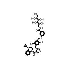 O=C(NC[C@H](O)[C@@H](O)[C@H](O)[C@H](O)CO)c1cccc(OCc2cc(Cl)c(CN3CSC[C@H]3C(=O)N3CCN(C4CC4)c4ccccc43)cc2Cl)c1